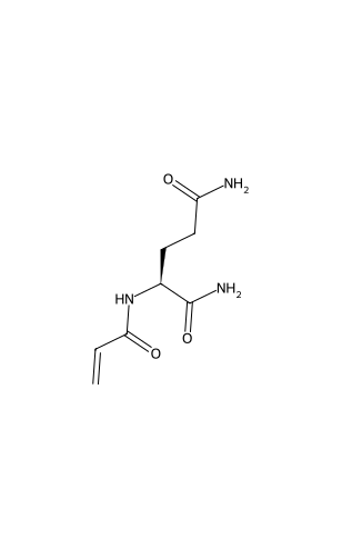 C=CC(=O)N[C@@H](CCC(N)=O)C(N)=O